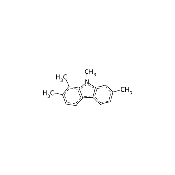 Cc1ccc2c3ccc(C)c(C)c3n(C)c2c1